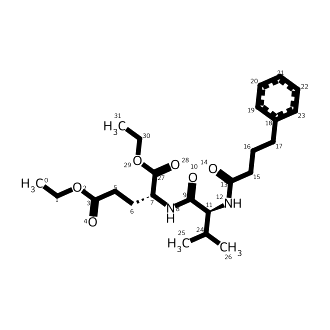 CCOC(=O)CC[C@@H](NC(=O)[C@@H](NC(=O)CCCc1ccccc1)C(C)C)C(=O)OCC